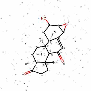 C[C@]12CC(O)C3OC3C1=CC(=O)[C@@H]1[C@H]2CC[C@]2(C)C(=O)CC[C@@H]12